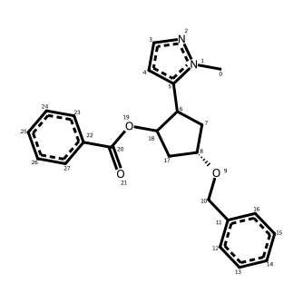 Cn1nccc1C1C[C@H](OCc2ccccc2)CC1OC(=O)c1ccccc1